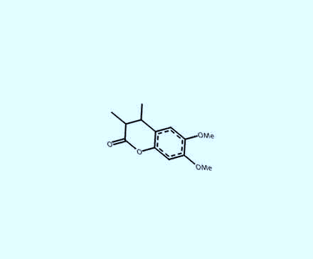 COc1cc2c(cc1OC)C(C)C(C)C(=O)O2